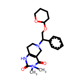 C[N+]1(C)C(=O)NC2=C(CN(C(COC3CCCCO3)c3ccccc3)CC2)C1=O